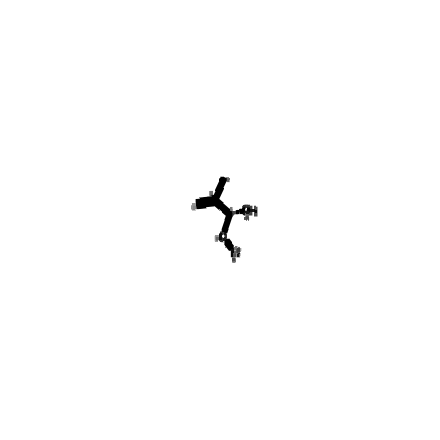 C=C(C)[C@H](O)OCC